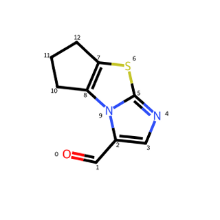 O=Cc1cnc2sc3c(n12)CCC3